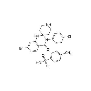 Cc1ccc(S(=O)(=O)O)cc1.O=C1c2ccc(Br)cc2NC2(CCNCC2)N1c1ccc(Cl)cc1